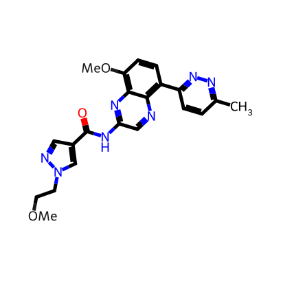 COCCn1cc(C(=O)Nc2cnc3c(-c4ccc(C)nn4)ccc(OC)c3n2)cn1